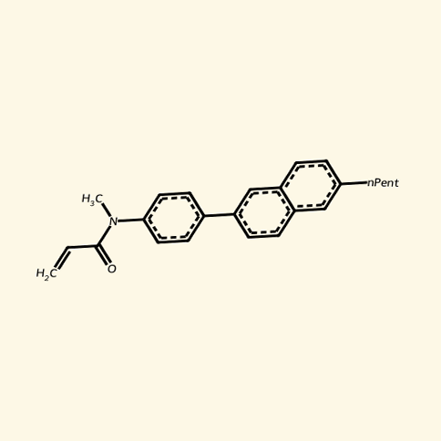 C=CC(=O)N(C)c1ccc(-c2ccc3cc(CCCCC)ccc3c2)cc1